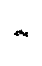 O=C1c2cc(-c3cccc(-n4c5ccccc5c5ccccc54)c3)ccc2S(=O)(=O)c2ccc(-c3cccc(-n4c5ccccc5c5ccccc54)c3)cc21